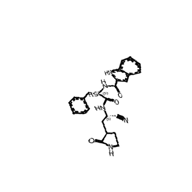 N#C[C@H](CC1CCNC1=O)NC(=O)[Si@H](Cc1ccccc1)NC(=O)c1cc2ccccc2[nH]1